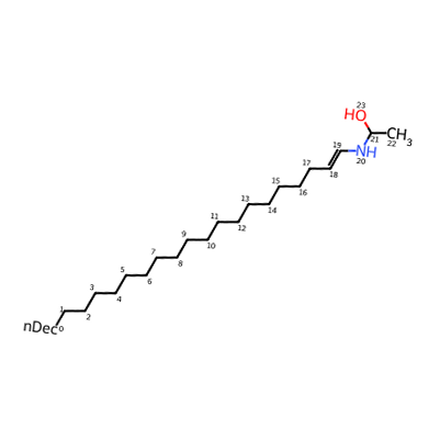 CCCCCCCCCCCCCCCCCCCCCCCCCCCC=CNC(C)O